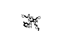 CCOCCn1nc(COC)c2nc(N(C)CCOC)nc(Nc3cc(C)ccn3)c21